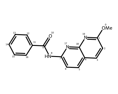 COc1ccc2ccc(NC(=O)c3ccccc3)nc2n1